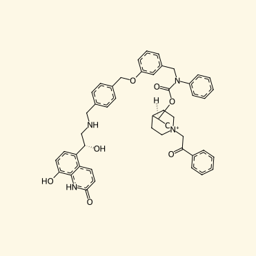 O=C(C[N+]12CCC(CC1)[C@@H](OC(=O)N(Cc1cccc(OCc3ccc(CNC[C@H](O)c4ccc(O)c5[nH]c(=O)ccc45)cc3)c1)c1ccccc1)C2)c1ccccc1